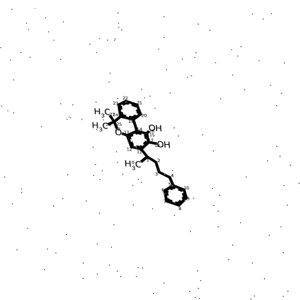 CC(CCCc1ccccc1)c1cc2c(c(O)c1O)-c1ccccc1C(C)(C)O2